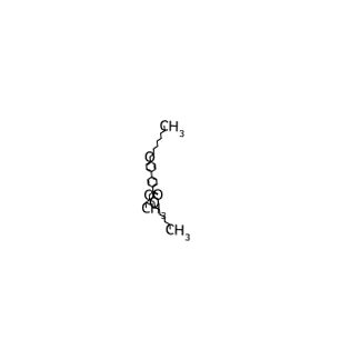 CCCCCCCCOc1ccc(-c2ccc(C(=O)OC(CC)OCCCCCCC)cc2)cc1